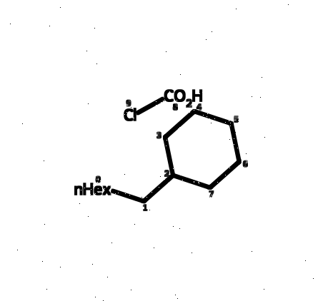 CCCCCCCC1CCCCC1.O=C(O)Cl